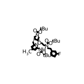 Cc1cc(C[C@@H]2CN(C(=O)OC(C)(C)C)C[C@@H]2OCCN(CCc2cccc(F)c2)C(=O)OC(C)(C)C)nc(NC(=O)OC(C)(C)C)c1